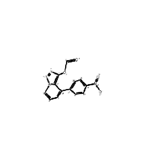 O=COc1nnn2cccc(-c3ccc([N+](=O)[O-])cc3)c12